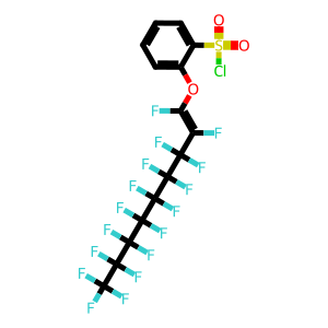 O=S(=O)(Cl)c1ccccc1OC(F)=C(F)C(F)(F)C(F)(F)C(F)(F)C(F)(F)C(F)(F)C(F)(F)C(F)(F)F